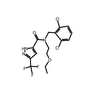 CCOCCN(Cc1c(Cl)cccc1Cl)C(=O)c1cc(C(F)(F)F)n[nH]1